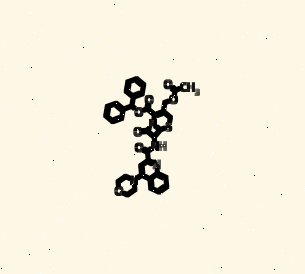 CC(=O)OCC1=C(C(=O)OC(c2ccccc2)c2ccccc2)N2C(=O)C(NC(=O)c3cc(N4CCOCC4)c4ccccc4n3)C2SC1